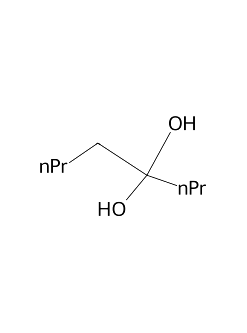 CCCCC(O)(O)CCC